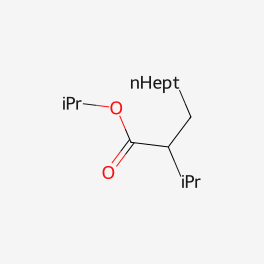 CCCCCCCCC(C(=O)OC(C)C)C(C)C